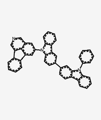 c1ccc(-n2c3ccccc3c3ccc(-c4ccc5c(c4)c4ccccc4n5-c4cc5c6c(cncc6c4)-c4ccccc4-5)cc32)cc1